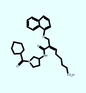 O=C(O)CCCCC=C(COc1cccc2ccccc12)C(=O)NC1CCN(C(=O)C2CCCCC2)C1